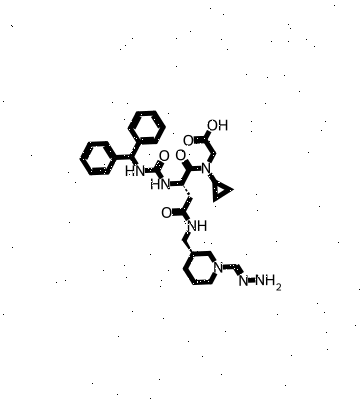 NN=CN1CCC[C@@H](CNC(=O)C[C@H](NC(=O)NC(c2ccccc2)c2ccccc2)C(=O)N(CC(=O)O)C2CC2)C1